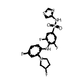 O=S(=O)(Nc1cscn1)c1cc(F)c(Nc2ccc(F)cc2N2CCC(F)C2)c(F)c1